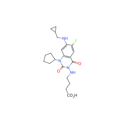 O=C(O)CCCNn1c(=O)c2cc(F)c(NCC3CC3)cc2n(C2CCCC2)c1=O